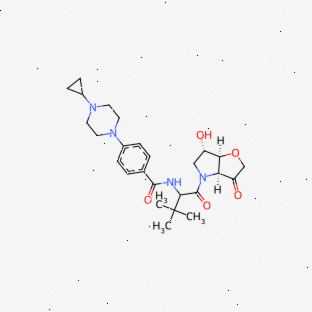 CC(C)(C)C(NC(=O)c1ccc(N2CCN(C3CC3)CC2)cc1)C(=O)N1C[C@H](O)[C@H]2OCC(=O)[C@H]21